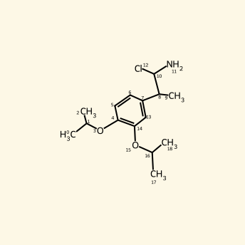 CC(C)Oc1ccc(C(C)C(N)Cl)cc1OC(C)C